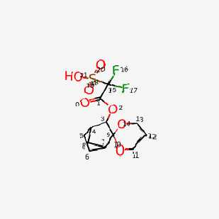 O=C(OC1C2CCC(C2)C12OCCCO2)C(F)(F)S(=O)(=O)O